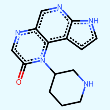 O=c1cnc2cnc3[nH]ccc3c2n1C1CCCNC1